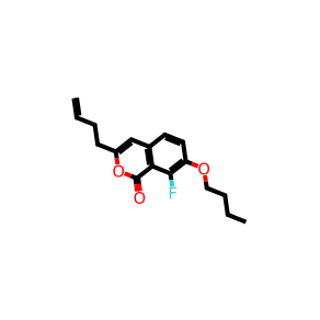 C=CCCc1cc2ccc(OCCCC)c(F)c2c(=O)o1